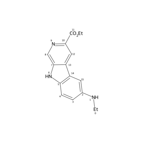 CCNc1ccc2[nH]c3cnc(C(=O)OCC)cc3c2c1